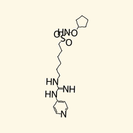 N=C(NCCCCCCS(=O)(=O)NOC1CCCC1)Nc1ccncc1